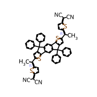 C/C(c1cc2c(s1)-c1cc3c(cc1C2(c1ccccc1)c1ccccc1)-c1sc(/C(C)=c2\ccc(=C(C#N)C#N)s2)cc1C3(c1ccccc1)c1ccccc1)=c1/ccc(=C(C#N)C#N)s1